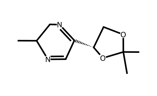 CC1CN=C([C@@H]2COC(C)(C)O2)C=N1